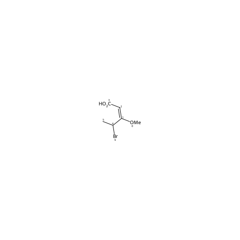 COC(=CC(=O)O)C(C)Br